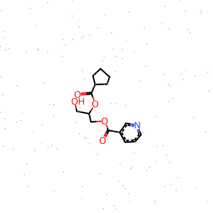 O=C(OCC(CO)OC(=O)C1CCCC1)c1cccnc1